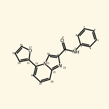 O=C(Nc1ccccc1)c1cn2c(-c3ccco3)cccc2n1